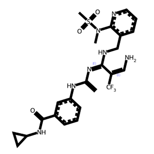 C=C(/N=C(NCc1cccnc1N(C)S(C)(=O)=O)\C(=C/N)C(F)(F)F)Nc1cccc(C(=O)NC2CC2)c1